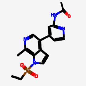 CCS(=O)(=O)n1ccc2c(-c3ccnc(NC(C)=O)c3)cnc(C)c21